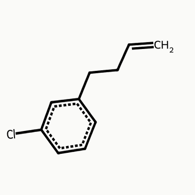 C=CCCc1cccc(Cl)c1